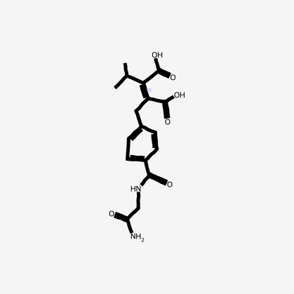 CC(C)/C(C(=O)O)=C(\Cc1ccc(C(=O)NCC(N)=O)cc1)C(=O)O